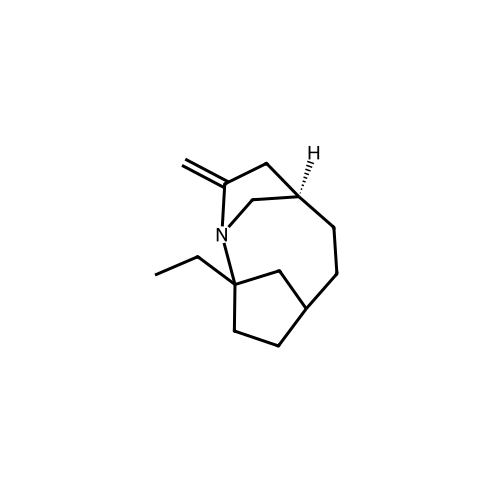 C=C1C[C@H]2CCC3CCC(CC)(C3)N1C2